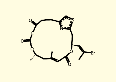 C/C(Br)=C\[C@@H]1Cc2nc(cs2)CCC(=O)CC(=O)O[C@@H](C)C/C(C)=C/C(=O)O1